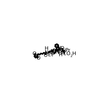 CCOCc1nc2c(NC(=O)[C@@H](NC(=O)O)C(C)C)nc3ccccc3c2n1CC(C)(C)OCCNC(=O)CCCCCN1C(=O)C=CC1=O